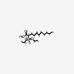 CCCCCCCCCC(C(=O)O)[Si](C)(OCC)OCC